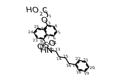 O=C(O)COc1cccc2c(S(=O)(=O)NCCCCc3ccccc3)cccc12